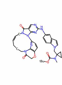 CN(C(=O)OC(C)(C)C)C1(Cn2ccc3cc(Nc4ncc5c(=O)n6n(c5n4)-c4ccc5c(n4)N(CCC/C=C\C6)C(=O)CO5)ccc32)CC1